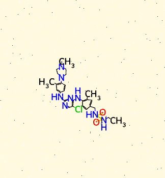 CCNS(=O)(=O)NCc1ccc(Nc2nc(Nc3ccc(N4CCN(C)CC4)c(C)c3)ncc2Cl)c(C)c1